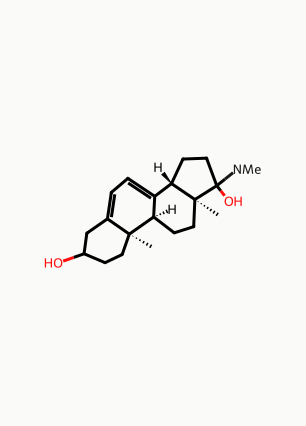 CNC1(O)CC[C@H]2C3=CC=C4CC(O)CC[C@]4(C)[C@@H]3CC[C@@]21C